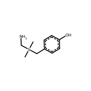 C[Si](C)(CN)Cc1ccc(O)cc1